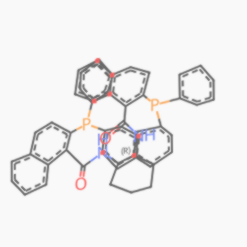 O=C(NC1CCCC[C@H]1NC(=O)c1c(P(c2ccccc2)c2ccccc2)ccc2ccccc12)c1c(P(c2ccccc2)c2ccccc2)ccc2ccccc12